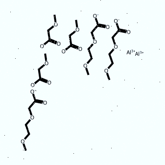 COCC(=O)[O-].COCC(=O)[O-].COCC(=O)[O-].COCCOCC(=O)[O-].COCCOCC(=O)[O-].COCCOCC(=O)[O-].[Al+3].[Al+3]